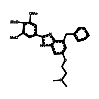 COc1cc(-c2nc3c(Cc4ccccc4)cc(OCCN(C)C)cc3[nH]2)cc(OC)c1OC